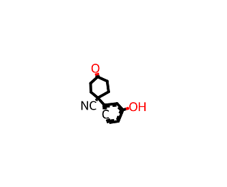 N#CC1(c2cccc(O)c2)CCC(=O)CC1